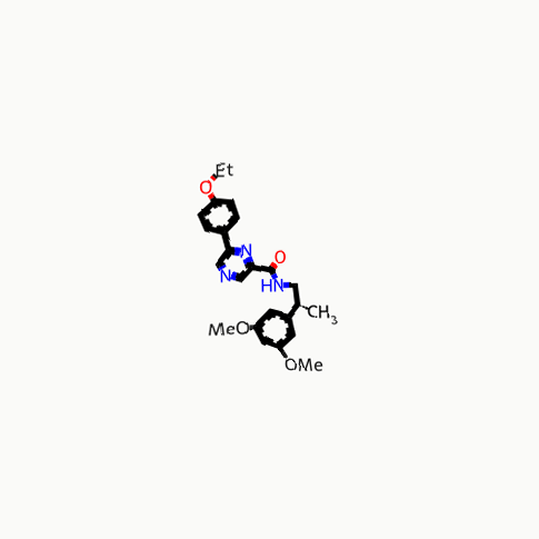 CCOc1ccc(-c2cncc(C(=O)NC[C@H](C)c3cc(OC)cc(OC)c3)n2)cc1